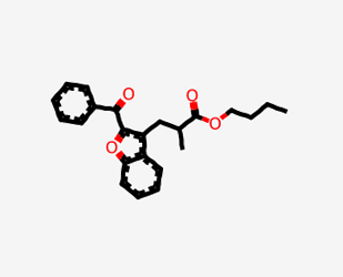 CCCCOC(=O)C(C)Cc1c(C(=O)c2ccccc2)oc2ccccc12